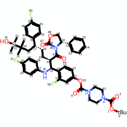 CC(C)(C)OC(=O)N1CCN(C(=O)Oc2ccc([C@@H](Nc3ccc(F)cc3)[C@@H](CC[C@H](CC(C)(C)[Si](C)(C)O)c3ccc(F)cc3)C(=O)N3C(=O)OC[C@@H]3c3ccccc3)c(F)c2)CC1